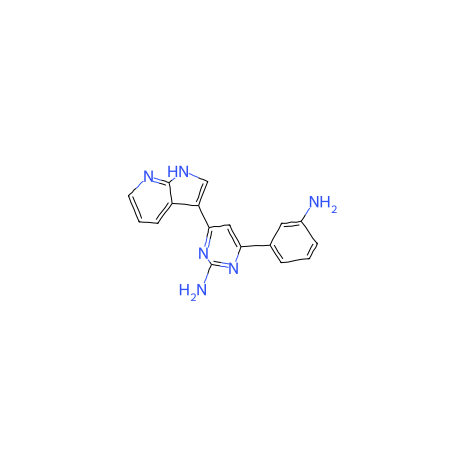 Nc1cccc(-c2cc(-c3c[nH]c4ncccc34)nc(N)n2)c1